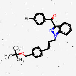 CCc1ccc(C(=O)c2nn(C/C=C/c3ccc(COC(C)(C)C(=O)O)cc3)c3ccccc23)cc1